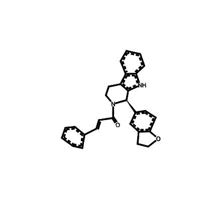 O=C(C=Cc1ccccc1)N1CCc2c([nH]c3ccccc23)[C@H]1c1ccc2c(c1)CCO2